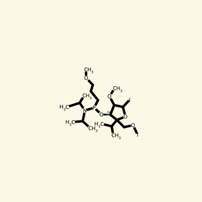 COCCCP(O[C@H]1C(OC)C(I)OC1(COI)C(C)C)N(C(C)C)C(C)C